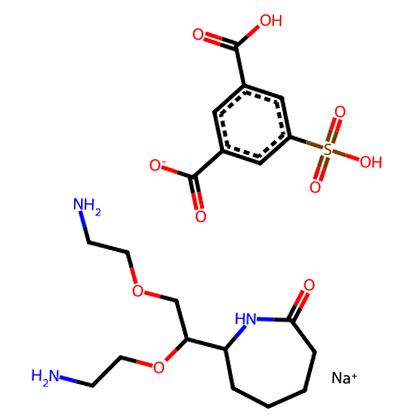 NCCOCC(OCCN)C1CCCCC(=O)N1.O=C([O-])c1cc(C(=O)O)cc(S(=O)(=O)O)c1.[Na+]